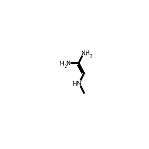 CNC=C(N)N